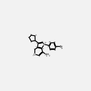 NC1=COCc2c(C3CCCC3)cn(-c3ccc(Br)cc3)c21